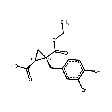 CCOC(=O)[C@@]1(Cc2ccc(O)c(Br)c2)C[C@@H]1C(=O)O